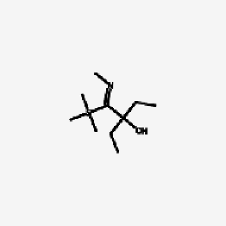 CCC(O)(CC)C(=NC)[Si](C)(C)C